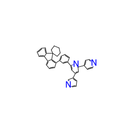 c1cncc(-c2cc(-c3ccncc3)nc(-c3cccc(-c4cccc5c4C4(CCCCC4)c4ccccc4-5)c3)c2)c1